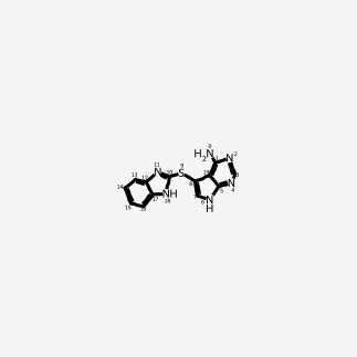 Nc1ncnc2[nH]cc(Sc3nc4ccccc4[nH]3)c12